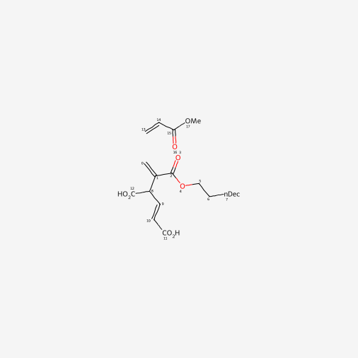 C=C(C(=O)OCCCCCCCCCCCC)C(C=CC(=O)O)C(=O)O.C=CC(=O)OC